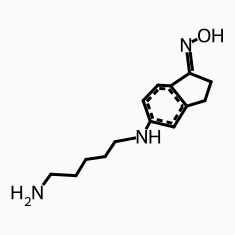 NCCCCCNc1ccc2c(c1)CCC2=NO